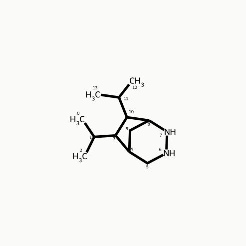 CC(C)C1C2CNNC(C2)C1C(C)C